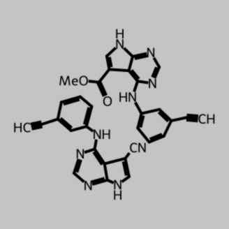 C#Cc1cccc(Nc2ncnc3[nH]cc(C#N)c23)c1.C#Cc1cccc(Nc2ncnc3[nH]cc(C(=O)OC)c23)c1